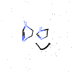 C1=NCCN1.C1=NCCN1.CCC